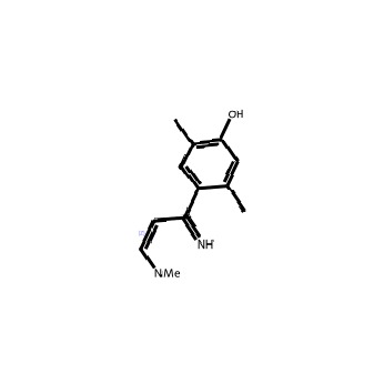 CN/C=C\C(=N)c1cc(C)c(O)cc1C